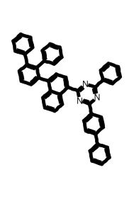 c1ccc(-c2ccc(-c3nc(-c4ccccc4)nc(-c4ccc(-c5cccc(-c6ccccc6)c5-c5ccccc5)c5ccccc45)n3)cc2)cc1